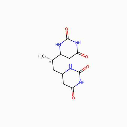 C[C@@H](CC1CC(=O)NC(=O)N1)C1CC(=O)NC(=O)N1